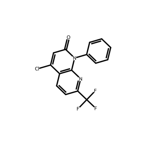 O=c1cc(Cl)c2ccc(C(F)(F)F)nc2n1-c1ccccc1